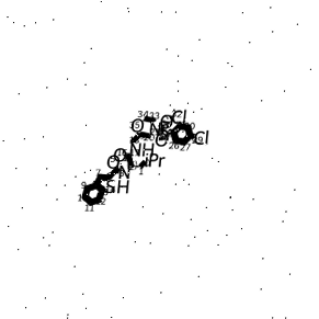 CC(C)C[C@H](NC(=O)c1cc2ccccc2s1)C(=O)NCC1CN(S(=O)(=O)c2ccc(Cl)cc2Cl)CCO1